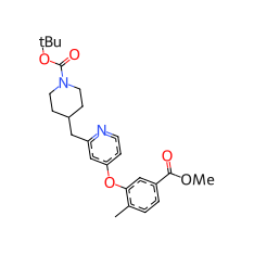 COC(=O)c1ccc(C)c(Oc2ccnc(CC3CCN(C(=O)OC(C)(C)C)CC3)c2)c1